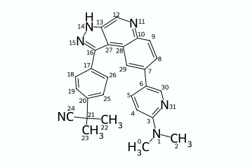 CN(C)c1ccc(-c2ccc3ncc4[nH]nc(-c5ccc(C(C)(C)C#N)cc5)c4c3c2)cn1